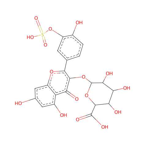 O=C(O)C1OC(Oc2c(-c3ccc(O)c(OS(=O)(=O)O)c3)oc3cc(O)cc(O)c3c2=O)C(O)C(O)C1O